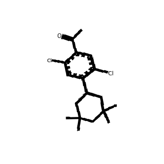 CC(=O)c1cc(Cl)c(C2CC(C)(C)CC(C)(C)C2)cc1Cl